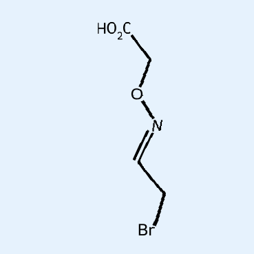 O=C(O)CO/N=C/CBr